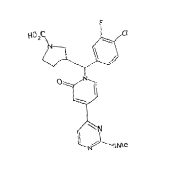 CSc1nccc(-c2ccn(C(c3ccc(Cl)c(F)c3)C3CCN(C(=O)O)C3)c(=O)c2)n1